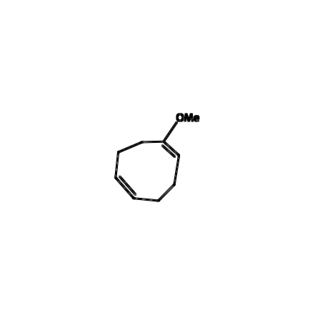 CO/C1=C/CC/C=C\CC1